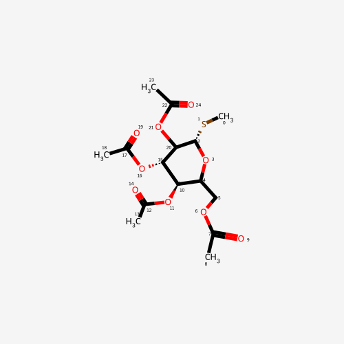 CS[C@@H]1OC(COC(C)=O)[C@@H](OC(C)=O)[C@H](OC(C)=O)C1OC(C)=O